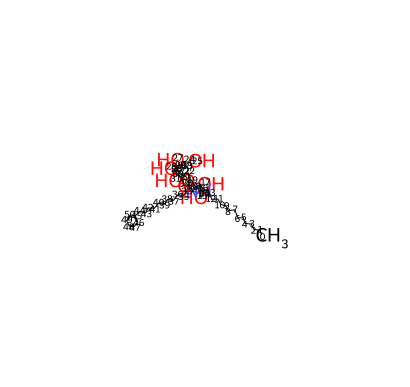 CCCCCCCCCCCCCC[C@@H](O)[C@@H](O)[C@H](CO[C@H]1C[C@H](CO)[C@H](O)[C@H](O)[C@H]1O)NC(=O)CCCCCCCCCCc1ccccc1